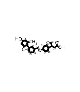 Cc1cc(O)cc(C)c1-c1cccc(COc2ccc3c(c2)OCC3CC(=O)O)c1